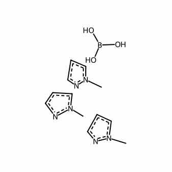 Cn1cccn1.Cn1cccn1.Cn1cccn1.OB(O)O